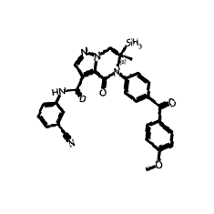 COc1ccc(C(=O)c2ccc(N3C(=O)c4c(C(=O)Nc5cccc(C#N)c5)cnn4C[C@]3(C)[SiH3])cc2)cc1